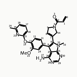 C=CC(=O)N1CC=C(c2c(-c3ccc(Oc4cccc(C)n4)c(OC)c3)c3c(N)ncnc3n2C)C1